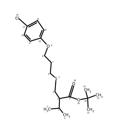 CC(C)C(CSCCCOc1ccc(Cl)cc1)C(=O)OC(C)(C)C